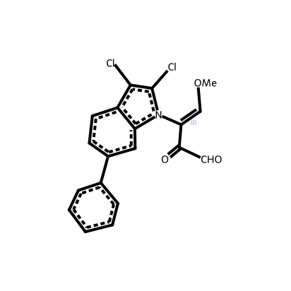 CO/C=C(/C(=O)C=O)n1c(Cl)c(Cl)c2ccc(-c3ccccc3)cc21